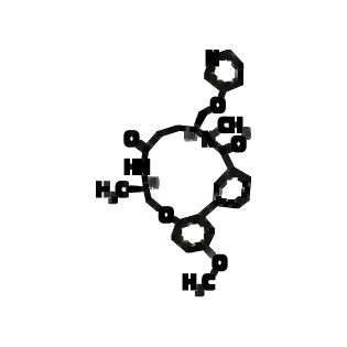 COc1ccc2c(c1)-c1cccc(c1)C(=O)N(C)[C@H](COc1cccnc1)CCC(=O)N[C@H](C)CO2